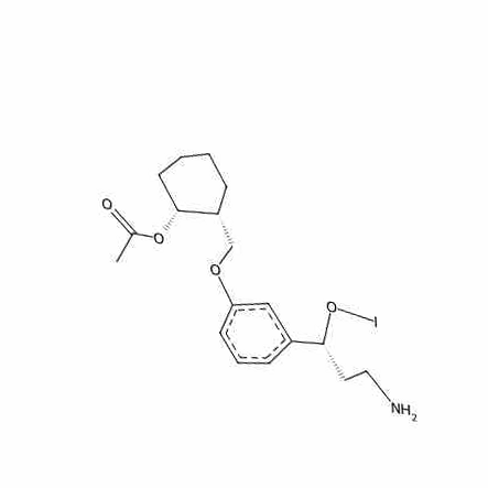 CC(=O)O[C@@H]1CCCC[C@@H]1COc1cccc([C@@H](CCN)OI)c1